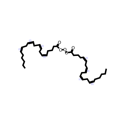 CCCCC/C=C\C/C=C\C/C=C\C/C=C\CCCC(=O)OOOC(=O)CCC/C=C\C/C=C\C/C=C\C/C=C\CCCCC